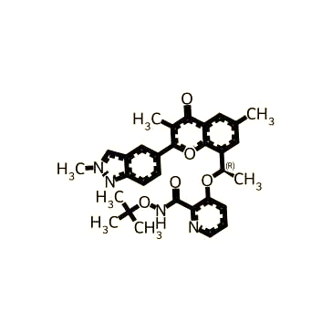 Cc1cc([C@@H](C)Oc2cccnc2C(=O)NOC(C)(C)C)c2oc(-c3ccc4nn(C)cc4c3)c(C)c(=O)c2c1